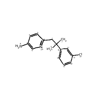 CC(C)(Cc1ccc(N)cn1)c1cccc(Cl)c1